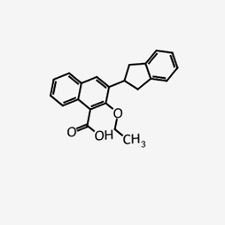 CCOc1c(C2Cc3ccccc3C2)cc2ccccc2c1C(=O)O